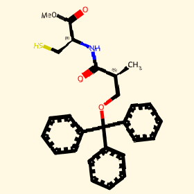 COC(=O)[C@H](CS)NC(=O)[C@@H](C)COC(c1ccccc1)(c1ccccc1)c1ccccc1